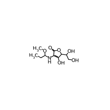 CCC(NC1=C(O)C(C(O)CO)OC1=O)OC